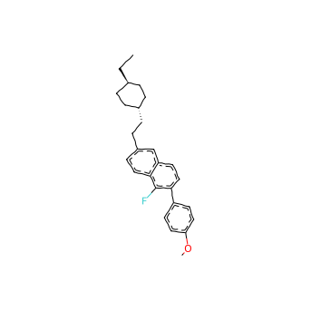 CC[C@H]1CC[C@H](CCc2ccc3c(F)c(-c4ccc(OC)cc4)ccc3c2)CC1